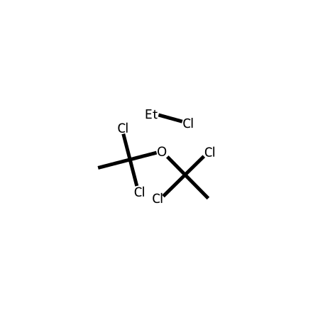 CC(Cl)(Cl)OC(C)(Cl)Cl.CCCl